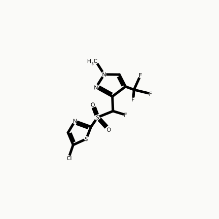 Cn1cc(C(F)(F)F)c(C(F)S(=O)(=O)c2ncc(Cl)s2)n1